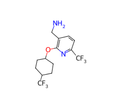 NCc1ccc(C(F)(F)F)nc1OC1CCC(C(F)(F)F)CC1